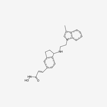 Cc1cn(CCNC2CCc3cc(C=CC(=O)NO)ccc32)c2ccccc12